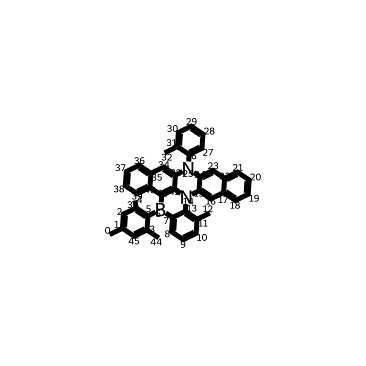 Cc1cc(C)c(B2c3cccc(C)c3N3c4cc5ccccc5cc4N(c4ccccc4C)c4cc5ccccc5c2c43)c(C)c1